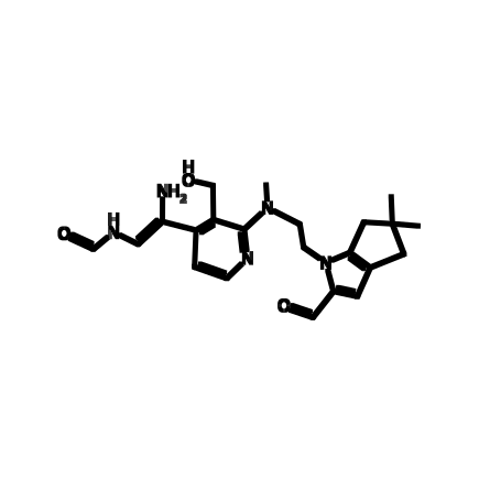 CN(CCn1c(C=O)cc2c1CC(C)(C)C2)c1nccc(/C(N)=C/NC=O)c1CO